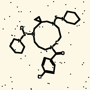 O=C(c1ccc(Cl)cc1)N1CCCN(SN2CCCCC2)CC2(CC2)CN([S+]([O-])N2CCCCC2)CCC1